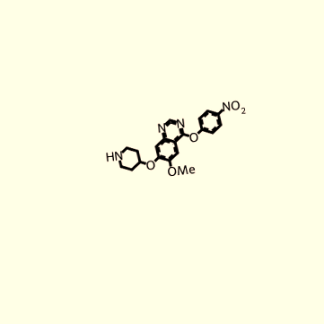 COc1cc2c(Oc3ccc([N+](=O)[O-])cc3)ncnc2cc1OC1CCNCC1